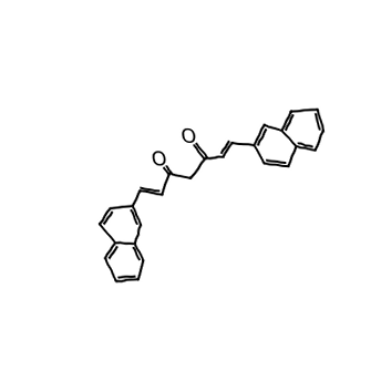 O=C(C=Cc1ccc2ccccc2c1)CC(=O)C=Cc1ccc2ccccc2c1